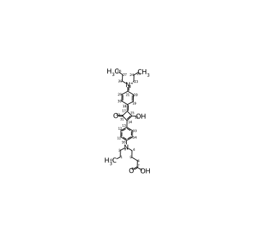 CCCN(CCCC(=O)O)c1ccc(C2=C(O)C(=C3C=CC(=[N+](CCC)CCC)C=C3)C2=O)cc1